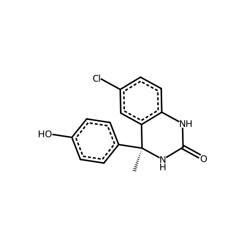 C[C@@]1(c2ccc(O)cc2)NC(=O)Nc2ccc(Cl)cc21